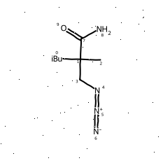 CCC(C)C(C)(CN=[N+]=[N-])C(N)=O